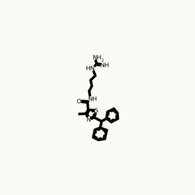 Cc1nc(C(c2ccccc2)c2ccccc2)sc1C(=O)NCCCCNC(=N)N